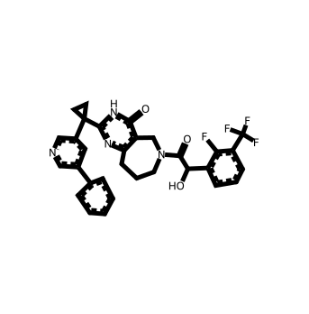 O=C(C(O)c1cccc(C(F)(F)F)c1F)N1CCCc2nc(C3(c4cncc(-c5ccccc5)c4)CC3)[nH]c(=O)c2C1